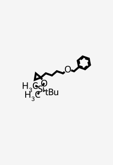 CC(C)(C)[Si](C)(C)OC1(CCCCOCc2ccccc2)CC1